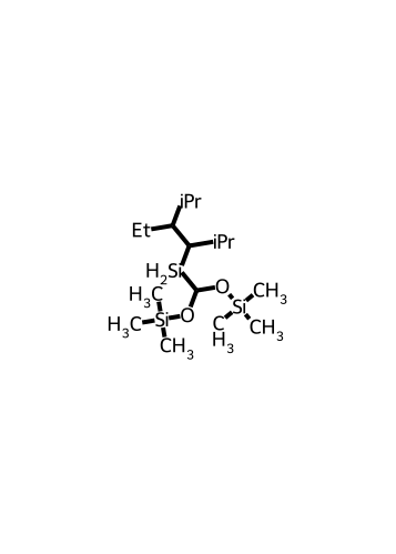 CCC(C(C)C)C([SiH2]C(O[Si](C)(C)C)O[Si](C)(C)C)C(C)C